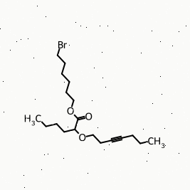 CCCC#CCCOC(CCCC)C(=O)OCCCCCCBr